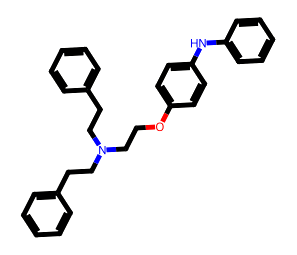 c1ccc(CCN(CCOc2ccc(Nc3ccccc3)cc2)CCc2ccccc2)cc1